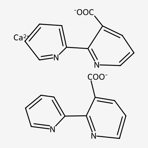 O=C([O-])c1cccnc1-c1ccccn1.O=C([O-])c1cccnc1-c1ccccn1.[Ca+2]